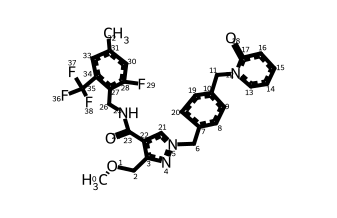 COCc1nn(Cc2ccc(Cn3ccccc3=O)cc2)cc1C(=O)NCc1c(F)cc(C)cc1C(F)(F)F